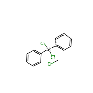 CCl.Cl[Si](Cl)(c1ccccc1)c1ccccc1